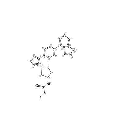 CCC(=O)N[C@H]1CC[C@@H](n2nccc2-c2ccc(-c3cccc4[nH]ncc34)cc2)C1